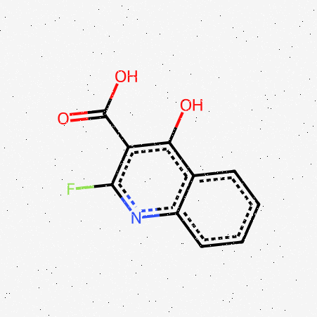 O=C(O)c1c(F)nc2ccccc2c1O